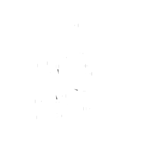 C=C[C@@]1(C)CC(=O)[C@]2(O)[C@@]3(C)[C@@H](O[Si](C)(C)C(C)(C)C)CCC(C)(C)[C@@H]3[C@H](OC(=O)/C=C/C)[C@H](O)[C@@]2(C)O1